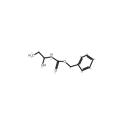 CCC(O)NC(=O)OCc1ccccc1